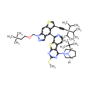 CSc1nc(N2C[C@@H]3CC[C@@](C(C)(C)C)(C2)N3)c2c(n1)sc1c(-c3c4cnn(COCC[Si](C)(C)C)c4cc4scc(C#C[Si](C(C)C)(C(C)C)C(C)C)c34)nccc12